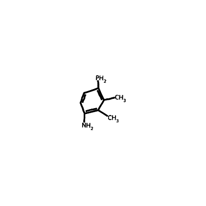 Cc1c(N)ccc(P)c1C